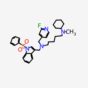 CN(CCCCCN(Cc1ccnc(F)c1)Cc1cn(S(=O)(=O)c2ccccc2)c2ccccc12)C1CCCCC1